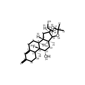 C=C1C=C2CC[C@H]3[C@@H]4C[C@H]5OC(C)(C)O[C@@]5(C(=O)CI)[C@@]4(C)C[C@H](O)[C@]3(F)[C@@]2(C)CC1